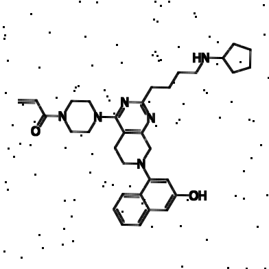 C=CC(=O)N1CCN(c2nc(CCCCNC3CCCC3)nc3c2CCN(c2cc(O)cc4ccccc24)C3)CC1